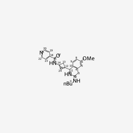 CCCCN[C@H]1Cc2cc(OC)ccc2C(C23CC(NC(=O)c4ccncc4)(C2)C3)N1